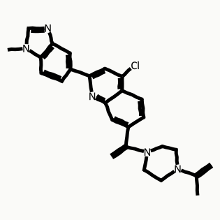 C=C(C)N1CCN(C(=C)c2ccc3c(Cl)cc(-c4ccc5c(c4)ncn5C)nc3c2)CC1